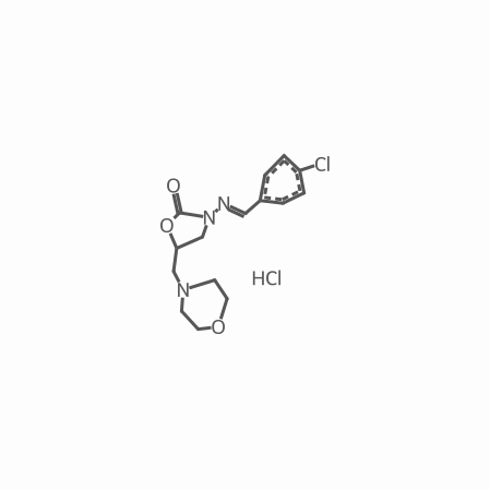 Cl.O=C1OC(CN2CCOCC2)CN1N=Cc1ccc(Cl)cc1